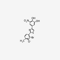 Cc1ccc(-c2nc(-c3cc(O)c(O)c([N+](=O)[O-])c3)cs2)c(Br)[n+]1[O-]